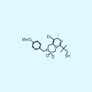 CCC1=C2CN(Cc3ccc(OC)cc3)S(=O)(=O)CN2C(C(C)(C)SS)=N[C@H]1C